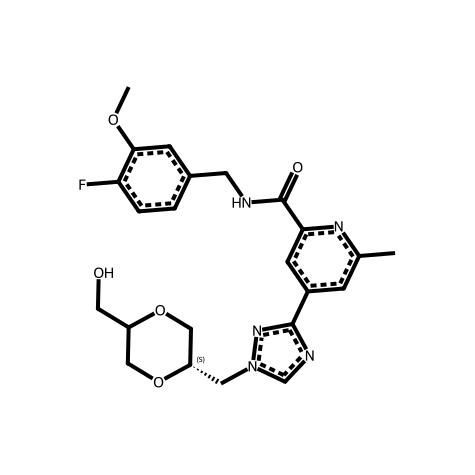 COc1cc(CNC(=O)c2cc(-c3ncn(C[C@H]4COC(CO)CO4)n3)cc(C)n2)ccc1F